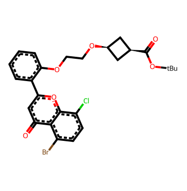 CC(C)(C)OC(=O)[C@H]1C[C@@H](OCCOc2ccccc2-c2cc(=O)c3c(Br)ccc(Cl)c3o2)C1